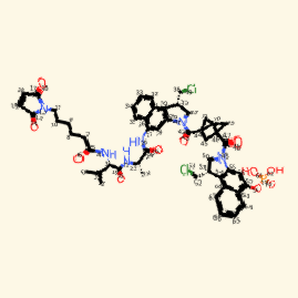 CC(C)[C@H](NC(=O)CCCCCN1C(=O)C=CC1=O)C(=O)N[C@@H](C)C(=O)Nc1cc2c(c3ccccc13)[C@H](CCl)CN2C(=O)C12CC3(C(=O)N4C[C@@H](CCl)c5c4cc(OP(=O)(O)O)c4ccccc54)CC13C2